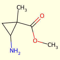 COC(=O)C1(C)CC1N